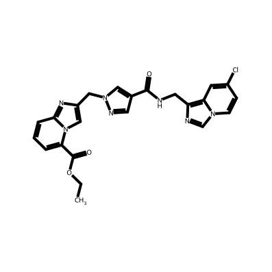 CCOC(=O)c1cccc2nc(Cn3cc(C(=O)NCc4ncn5ccc(Cl)cc45)cn3)cn12